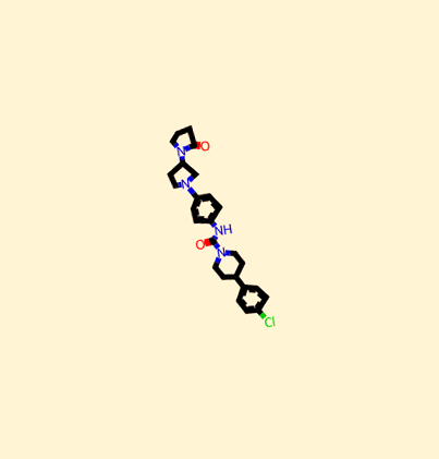 O=C(Nc1ccc(N2CCC(N3CCCC3=O)C2)cc1)N1CCC(c2ccc(Cl)cc2)CC1